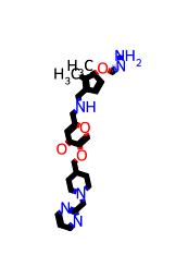 CC1=C(CNCc2cc(=O)c(OCC3CCN(Cc4ncccn4)CC3)co2)C=CC1(C)O/C=N\N